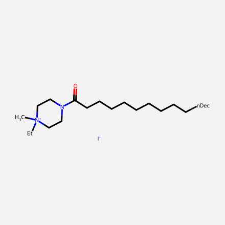 CCCCCCCCCCCCCCCCCCCC(=O)N1CC[N+](C)(CC)CC1.[I-]